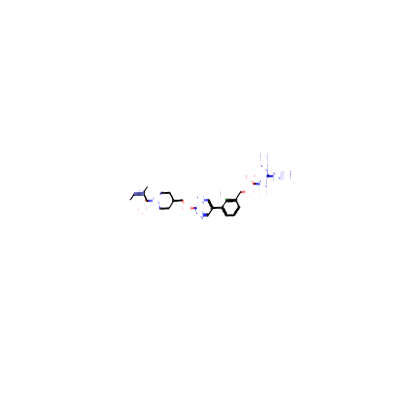 C/C=C(/C)C(=O)N1CCC(COc2ncc(-c3cccc(COC(=O)NC(=N)N)c3F)cn2)CC1